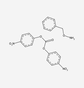 NOCc1ccccc1.O=C(Oc1ccc([N+](=O)[O-])cc1)Oc1ccc([N+](=O)[O-])cc1